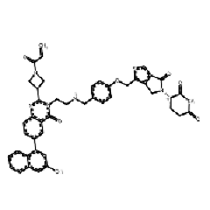 C=CC(=O)N1CC(c2nc3ccc(-c4cc(O)cc5ccccc45)cc3c(=O)n2CCNCc2ccc(OCc3scc4c3CN([C@H]3CCC(=O)NC3=O)C4=O)cc2)C1